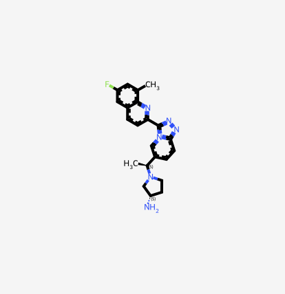 Cc1cc(F)cc2ccc(-c3nnc4ccc([C@H](C)N5CC[C@H](N)C5)cn34)nc12